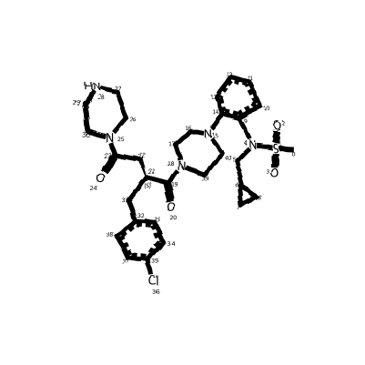 CS(=O)(=O)N(CC1CC1)c1ccccc1N1CCN(C(=O)[C@H](CC(=O)N2CCNCC2)Cc2ccc(Cl)cc2)CC1